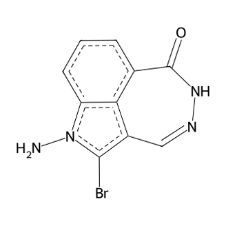 Nn1c(Br)c2c3c(cccc31)C(=O)NN=C2